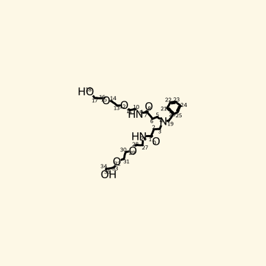 O=C(CCN(CCC(=O)NCCOCCOCCO)Cc1ccccc1)NCCOCCOCCO